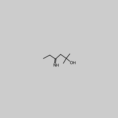 CCC(=N)CC(C)(C)O